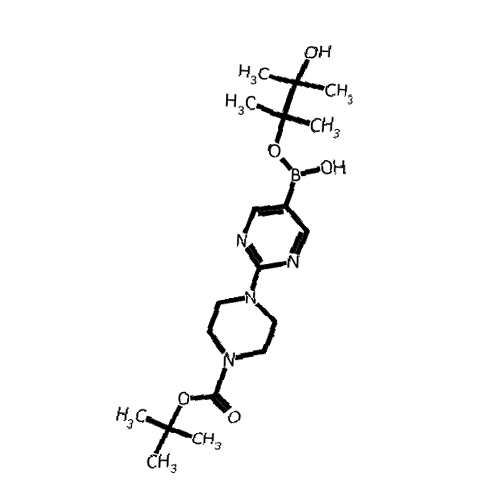 CC(C)(C)OC(=O)N1CCN(c2ncc(B(O)OC(C)(C)C(C)(C)O)cn2)CC1